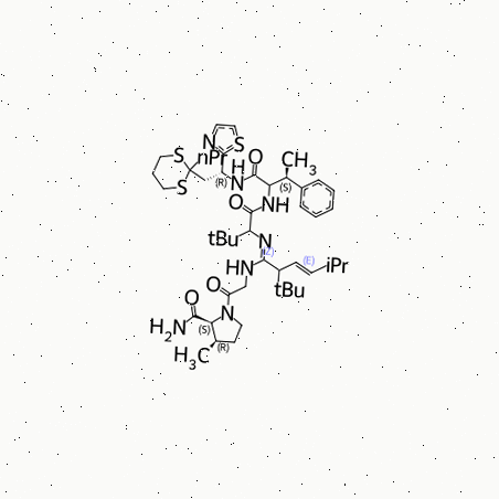 CCCC1(C[C@@H](NC(=O)C(NC(=O)C(/N=C(\NCC(=O)N2CC[C@@H](C)[C@H]2C(N)=O)C(/C=C/C(C)C)C(C)(C)C)C(C)(C)C)[C@@H](C)c2ccccc2)c2nccs2)SCCCS1